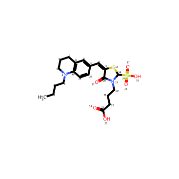 CCCCN1CCCc2cc(C=C3SC(S(=O)(=O)O)N(CCCC(=O)O)C3=O)ccc21